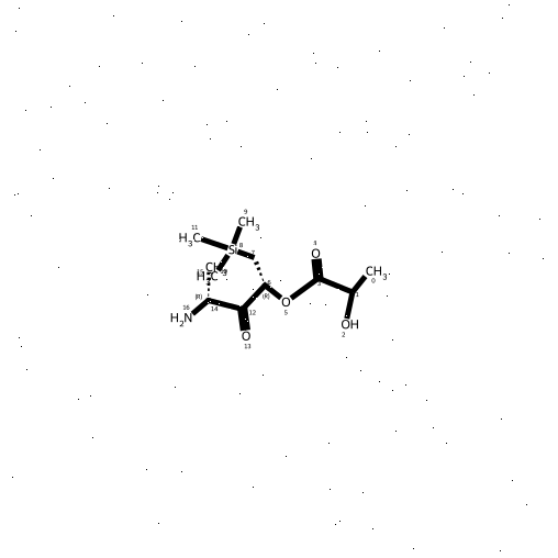 CC(O)C(=O)O[C@@H](C[Si](C)(C)C)C(=O)[C@@H](C)N